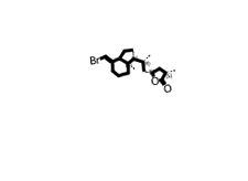 C[C@H](C[C@@H]1C[C@H](C)C(=O)O1)[C@H]1CCC2C(=CBr)CCC[C@@]21C